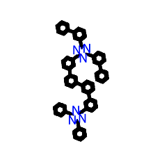 c1ccc(-c2cccc(-c3nc(-c4cccc(-c5ccccc5)c4)nc(-c4cccc(-c5cccc(-c6cccc(-c7cccc(-c8nc(-c9ccccc9)nc(-c9ccccc9)n8)c7)c6)c5)c4)n3)c2)cc1